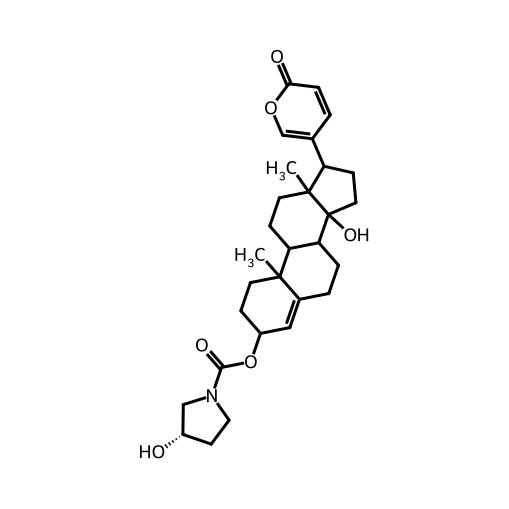 CC12CCC(OC(=O)N3CC[C@H](O)C3)C=C1CCC1C2CCC2(C)C(c3ccc(=O)oc3)CCC12O